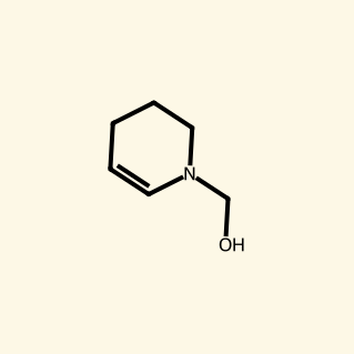 OCN1C=CCCC1